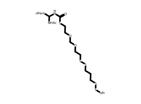 CCCCCC(NC(C)=O)NC(=O)SCCOCOCCSSCCCSSCCC